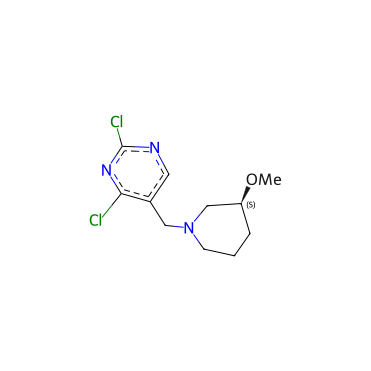 CO[C@H]1CCCN(Cc2cnc(Cl)nc2Cl)C1